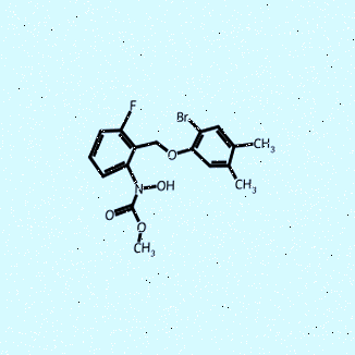 COC(=O)N(O)c1cccc(F)c1COc1cc(C)c(C)cc1Br